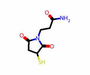 NC(=O)CCN1C(=O)CC(S)C1=O